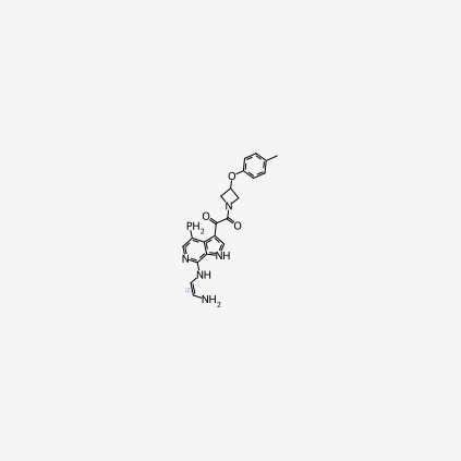 Cc1ccc(OC2CN(C(=O)C(=O)c3c[nH]c4c(N/C=C\N)ncc(P)c34)C2)cc1